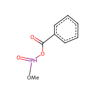 CO[PH](=O)OC(=O)c1ccccc1